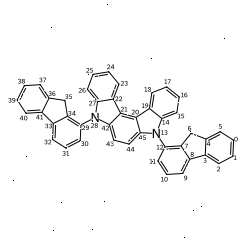 c1ccc2c(c1)Cc1c-2cccc1-n1c2ccccc2c2c3c4ccccc4n(-c4cccc5c4Cc4ccccc4-5)c3ccc21